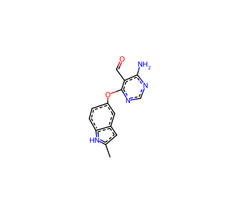 Cc1cc2cc(Oc3ncnc(N)c3C=O)ccc2[nH]1